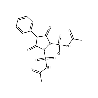 CC(=O)NS(=O)(=O)N1C(=O)C(c2ccccc2)C(=O)N1S(=O)(=O)NC(C)=O